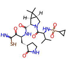 CC(C)[C@H](NS(=O)(=O)C1CC1)C(=O)N1C[C@H]2[C@@H]([C@H]1C(=O)N[C@@H](C[C@@H]1CCNC1=O)C(=O)C(=N)S)C2(C)C